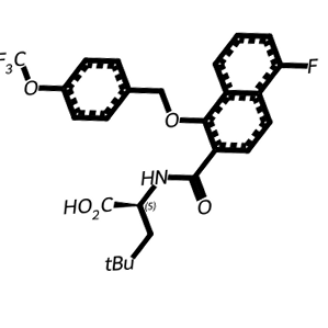 CC(C)(C)C[C@H](NC(=O)c1ccc2c(F)cccc2c1OCc1ccc(OC(F)(F)F)cc1)C(=O)O